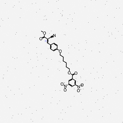 COC(=O)/C(C#N)=C/c1ccc(OCCCCCCOC(=O)c2cc([N+](=O)[O-])cc([N+](=O)[O-])c2)cc1